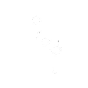 Nc1ncc(C2CC[C@H](O)C(F)(F)C2)nc1-c1ccc(C(=O)NC(CO)c2cc(F)cc(I)c2)c(F)c1